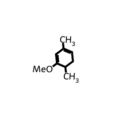 COC1=CC(C)=CCC1C